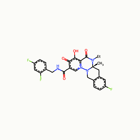 CCN1C(=O)c2c(O)c(=O)c(C(=O)NCc3ccc(F)cc3F)cn2N2Cc3ccc(F)cc3C[C@@]12C